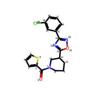 O=C(c1cccs1)N1CCCC(c2nc(-c3cccc(Cl)c3)no2)C1